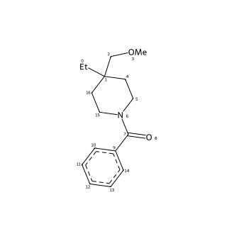 CCC1(COC)CCN(C(=O)c2ccccc2)CC1